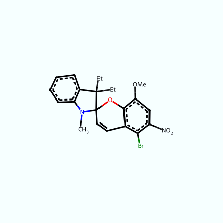 CCC1(CC)c2ccccc2N(C)C12C=Cc1c(Br)c([N+](=O)[O-])cc(OC)c1O2